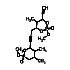 C#CC1OP(=O)(OC)OC(CC#CC2OP(=O)(OC)CC(C)C2C)C1C